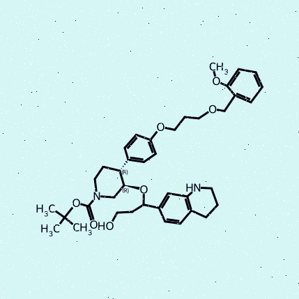 COc1ccccc1COCCCOc1ccc([C@H]2CCN(C(=O)OC(C)(C)C)C[C@@H]2OC(CCO)c2ccc3c(c2)NCCC3)cc1